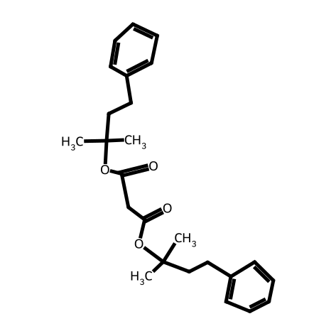 CC(C)(CCc1ccccc1)OC(=O)CC(=O)OC(C)(C)CCc1ccccc1